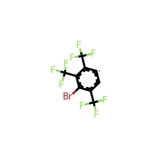 FC(F)(F)c1[c]cc(C(F)(F)F)c(Br)c1C(F)(F)F